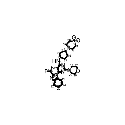 O=S1(=O)CCN([C@H]2CC[C@H](Nc3cc(-n4c(C(F)F)nc5ccccc54)nc(N4CCOCC4)n3)CC2)CC1